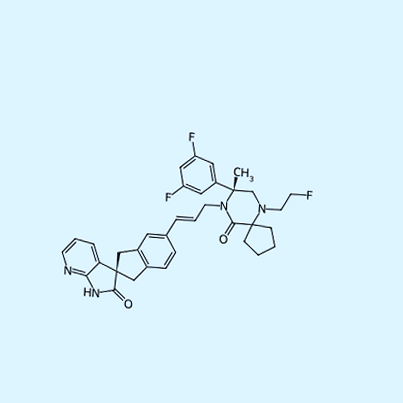 C[C@@]1(c2cc(F)cc(F)c2)CN(CCF)C2(CCCC2)C(=O)N1C/C=C/c1ccc2c(c1)C[C@@]1(C2)C(=O)Nc2ncccc21